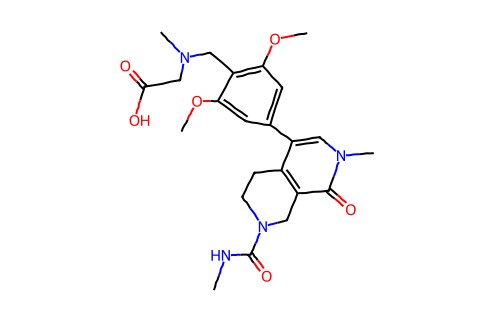 CNC(=O)N1CCc2c(-c3cc(OC)c(CN(C)CC(=O)O)c(OC)c3)cn(C)c(=O)c2C1